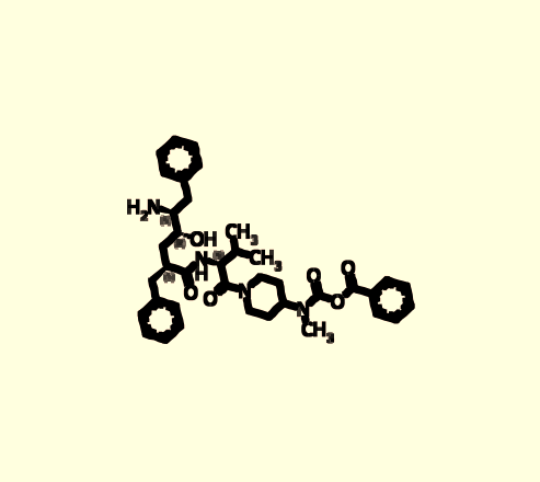 CC(C)[C@H](NC(=O)[C@@H](Cc1ccccc1)C[C@@H](O)[C@@H](N)Cc1ccccc1)C(=O)N1CCC(N(C)C(=O)OC(=O)c2ccccc2)CC1